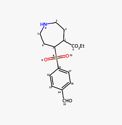 CCOC(=O)C1CCNCCC1S(=O)(=O)c1ccc(C=O)cc1